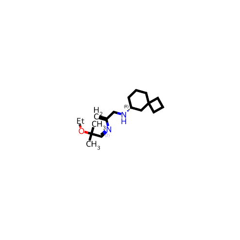 C=C(CN[C@@H]1CCCC2(CCC2)C1)/N=C\C(C)(C)OCC